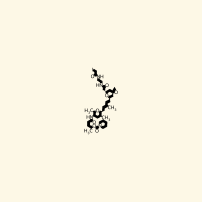 CC(/C=C/[C@@H]1C[C@]2(CO2)C[C@@H](CC(=O)NCCNC(=O)CI)O1)=C\C[C@@H]1O[C@H](C)[C@H](NC(=O)/C=C\[C@H](C)OC(=O)N2CCCCC2)C[C@@H]1C